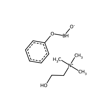 C[N+](C)(C)CCO.[O-]BOc1ccccc1